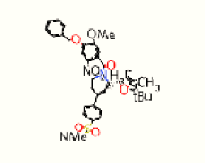 CNS(=O)(=O)c1ccc(C2=C[C@@H](CO[Si](C)(C)C(C)(C)C)N(C(=O)c3cc(OC)c(OCc4ccccc4)cc3[N+](=O)[O-])CC2)cc1